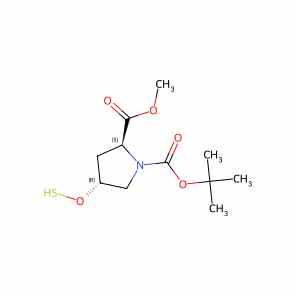 COC(=O)[C@@H]1C[C@@H](OS)CN1C(=O)OC(C)(C)C